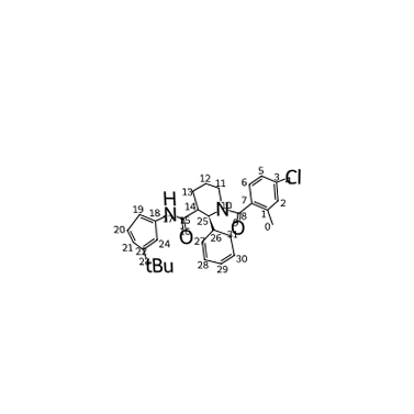 Cc1cc(Cl)ccc1C(=O)N1CCCC(C(=O)Nc2cccc(C(C)(C)C)c2)[C@@H]1C1C=CC=CC1